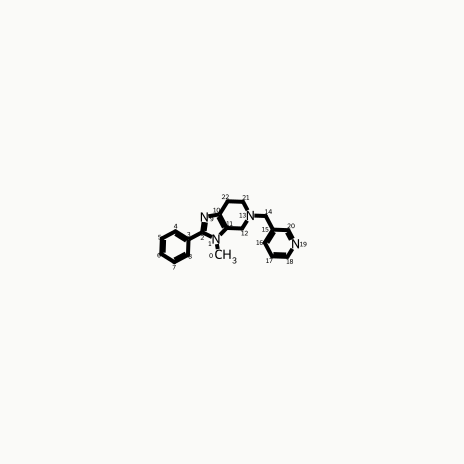 Cn1c(-c2ccccc2)nc2c1CN(Cc1cccnc1)CC2